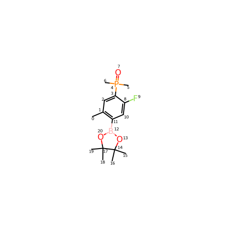 Cc1cc(P(C)(C)=O)c(F)cc1B1OC(C)(C)C(C)(C)O1